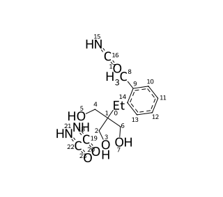 CCC(CO)(CO)CO.Cc1ccccc1.N=C=O.N=C=O.N=C=O